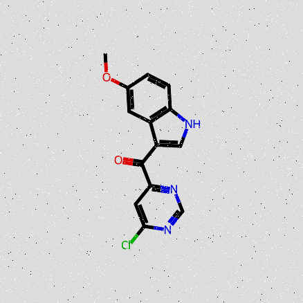 COc1ccc2[nH]cc(C(=O)c3cc(Cl)ncn3)c2c1